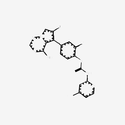 [CH2]Cc1cn2ncnc(N)c2c1-c1ccc(NC(=O)Nc2cc(C(F)(F)F)ccn2)c(F)c1